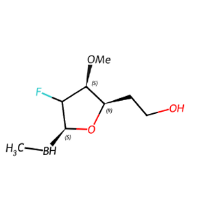 CB[C@@H]1O[C@H](CCO)[C@H](OC)C1F